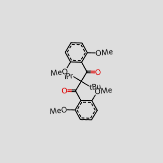 COc1cccc(OC)c1C(=O)C(C(=O)c1c(OC)cccc1OC)(C(C)C)C(C)(C)C